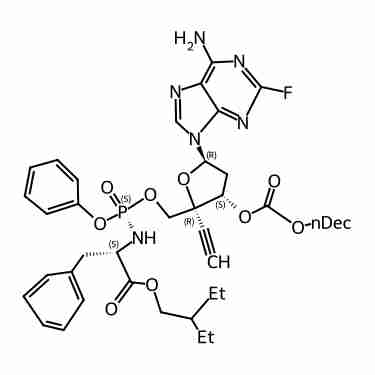 C#C[C@]1(CO[P@@](=O)(N[C@@H](Cc2ccccc2)C(=O)OCC(CC)CC)Oc2ccccc2)O[C@@H](n2cnc3c(N)nc(F)nc32)C[C@@H]1OC(=O)OCCCCCCCCCC